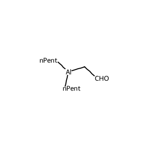 CCCC[CH2][Al]([CH2]C=O)[CH2]CCCC